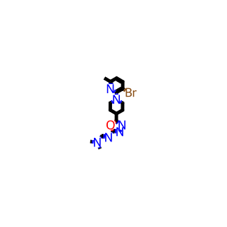 Cc1ccc(Br)c(N2CCC(c3nnc(N=CN(C)C)o3)CC2)n1